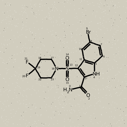 NC(=O)c1[nH]c2ccc(Br)cc2c1S(=O)(=O)N1CCC(F)(F)CC1